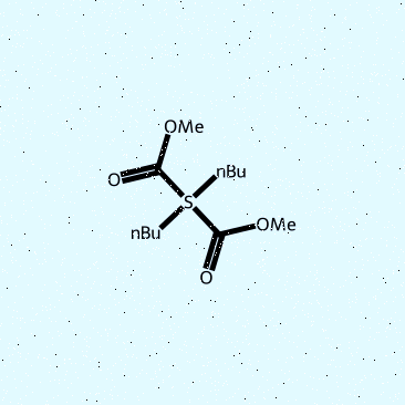 CCCCS(CCCC)(C(=O)OC)C(=O)OC